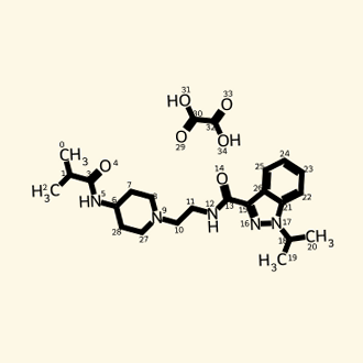 CC(C)C(=O)NC1CCN(CCNC(=O)c2nn(C(C)C)c3ccccc23)CC1.O=C(O)C(=O)O